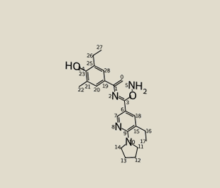 C=C(/N=C(\ON)c1cnc(N2CCCC2)c(CC)c1)c1cc(C)c(O)c(CC)c1